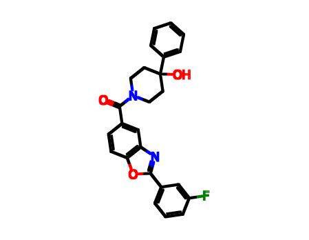 O=C(c1ccc2oc(-c3cccc(F)c3)nc2c1)N1CCC(O)(c2ccccc2)CC1